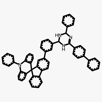 c1ccc(-c2ccc(C3=NC(c4ccccc4)NC(c4cccc(-c5ccc6c(c5)C5(c7ccccc7-6)c6ccccc6N(c6ccccc6)c6ccccc65)c4)N3)cc2)cc1